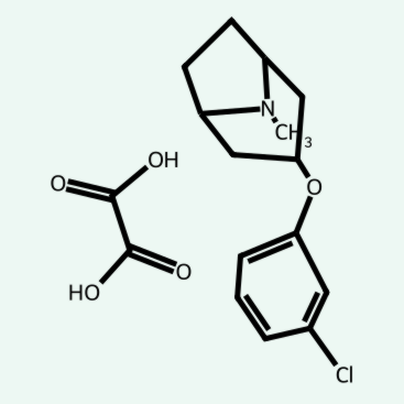 CN1C2CCC1CC(Oc1cccc(Cl)c1)C2.O=C(O)C(=O)O